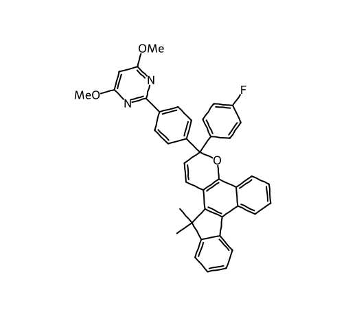 COc1cc(OC)nc(-c2ccc(C3(c4ccc(F)cc4)C=Cc4c5c(c6ccccc6c4O3)-c3ccccc3C5(C)C)cc2)n1